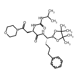 CC(C)NC(=O)N[C@H](CC(=O)N1CCOCC1)C(=O)N[C@@H](CCCc1ccccc1)B1OC(C)(C)C(C)(C)O1